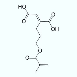 C=C(C)C(=O)OCCC/C(=C\C(=O)O)C(=O)O